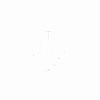 O=C(F)C(F)(F)C(F)(N1CC(C(F)(F)F)CC(C(F)(F)F)C1)C(F)(F)F